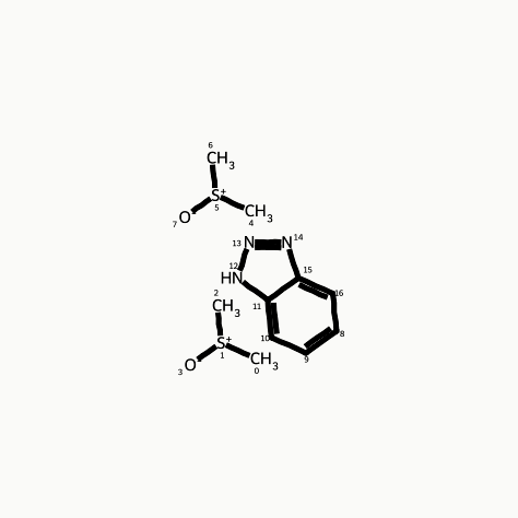 C[S+](C)[O-].C[S+](C)[O-].c1ccc2[nH]nnc2c1